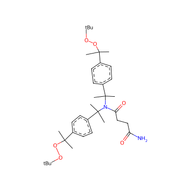 CC(C)(C)OOC(C)(C)c1ccc(C(C)(C)N(C(=O)CCC(N)=O)C(C)(C)c2ccc(C(C)(C)OOC(C)(C)C)cc2)cc1